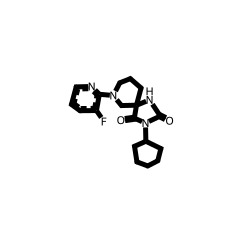 O=C1NC2(CCCN(c3ncccc3F)C2)C(=O)N1C1CCCCC1